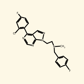 CN(CCn1ncc2c(-c3ccc(F)cc3Cl)ncnc21)Cc1ccc(F)cc1